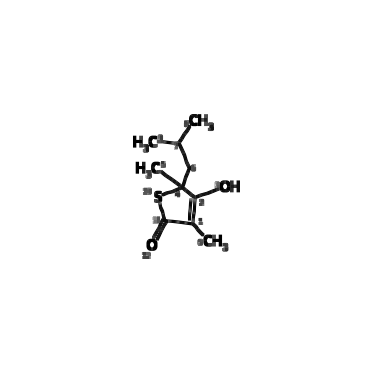 CC1=C(O)C(C)(CC(C)C)SC1=O